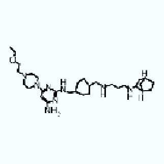 CCOCCN1CCN(c2cc(N)nc(NCC3CCC(CNCCCNC4C[C@@H]5CC[C@H]4C5)CC3)n2)CC1